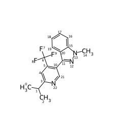 CC(C)c1cc(C(F)(F)F)c(-c2nn(C)c3ccccc23)cn1